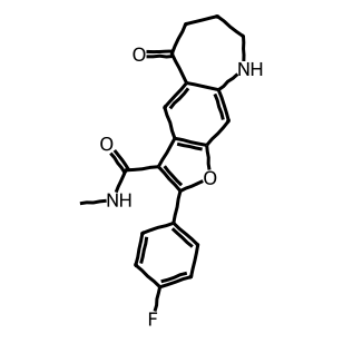 CNC(=O)c1c(-c2ccc(F)cc2)oc2cc3c(cc12)C(=O)CCCN3